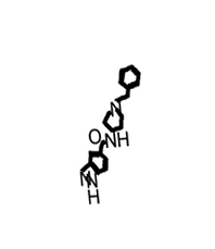 O=C(NC1CCN(CCc2ccccc2)CC1)c1ccc2[nH]ncc2c1